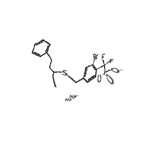 CC(CCc1ccccc1)SCc1ccc(C(F)(F)P(=O)([O-])[O-])c(Br)c1.[Na+].[Na+]